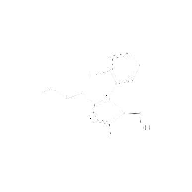 CCCCc1nc(C)c(CO)n1-c1ccccc1Cl